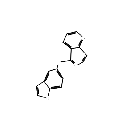 c1cnc2ccnc(Nc3ccc4[nH]ccc4c3)c2c1